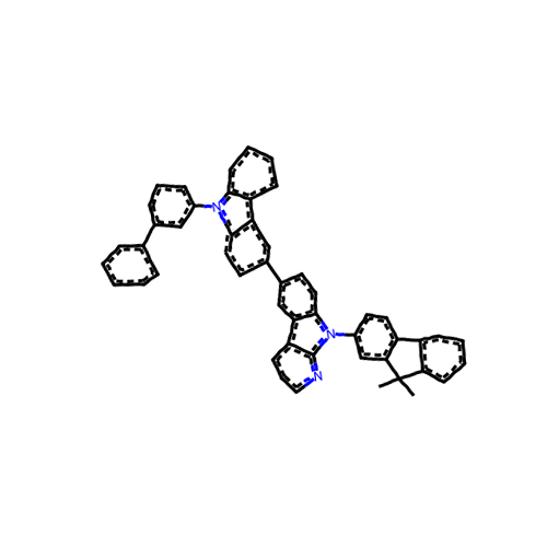 CC1(C)c2ccccc2-c2ccc(-n3c4ccc(-c5ccc6c(c5)c5ccccc5n6-c5cccc(-c6ccccc6)c5)cc4c4cccnc43)cc21